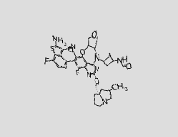 C[C@H]1CN2CCC[C@@]2(COc2nc3c4c(c(Cl)c(-c5ccc(F)c6sc(N)c(C#N)c56)c(F)c4n2)OC2COCC2N3C2CC(NC=O)C2)C1